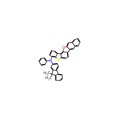 CC1(C)c2ccccc2-c2ccc(N(c3ccccc3)c3cccc4c3sc3ccc5c6cc7ccccc7cc6oc5c34)cc21